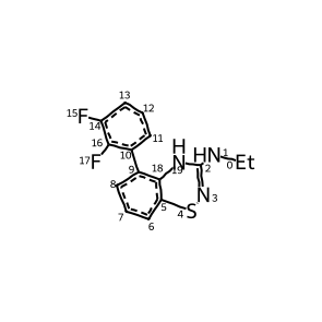 CCNC1=NSc2cccc(-c3cccc(F)c3F)c2N1